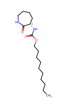 CCCCCCCCCCOC(=O)N[C@H]1CCCCNC1=O